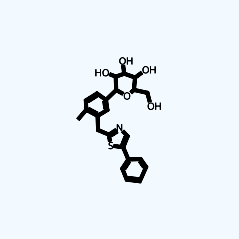 Cc1ccc(C2OC(CO)C(O)C(O)C2O)cc1Cc1ncc(-c2ccccc2)s1